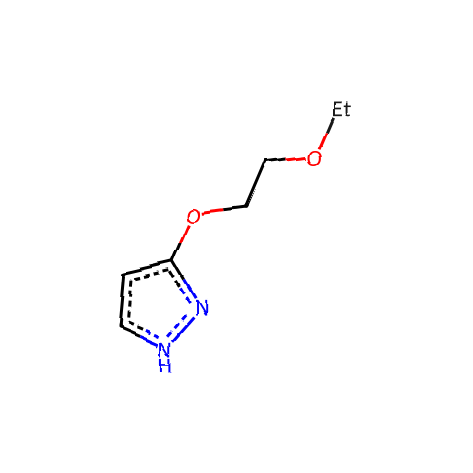 CCOCCOc1cc[nH]n1